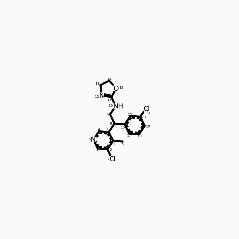 Cc1c(Cl)cncc1C(CNC1=NCCO1)c1cccc(Cl)c1